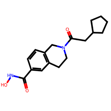 O=C(NO)c1ccc2c(c1)CCN(C(=O)CC1CCCC1)C2